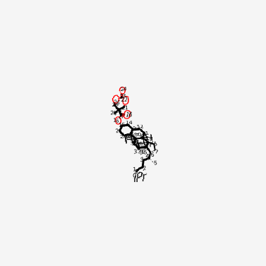 CC(C)CCC[C@@H](C)[C@H]1CC[C@H]2[C@@H]3CC=C4C[C@@H](OC(=O)C5(C)COC(=O)OC5)CC[C@]4(C)[C@H]3CC[C@]12C